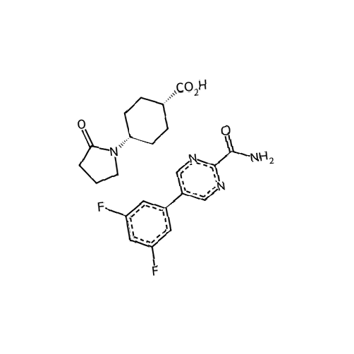 NC(=O)c1ncc(-c2cc(F)cc(F)c2)cn1.O=C1CCCN1[C@H]1CC[C@@H](C(=O)O)CC1